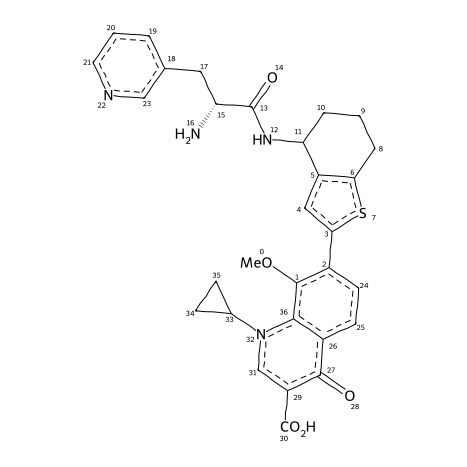 COc1c(-c2cc3c(s2)CCCC3NC(=O)[C@H](N)Cc2cccnc2)ccc2c(=O)c(C(=O)O)cn(C3CC3)c12